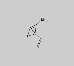 C=CC12CC1=C2N